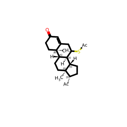 CC(=O)SC1CC2=CC(=O)CC[C@]2(C)[C@H]2CC[C@]3(C)[C@@H](C(C)=O)CC[C@H]3[C@H]12